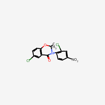 CC1Oc2ccc(Cl)cc2C(=O)N1c1ccc([N+](=O)[O-])cc1Cl